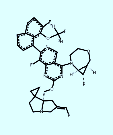 [2H]C([2H])(F)Oc1c(F)ccc2cccc(-c3ncc4c(N5CCOC[C@H]6[C@H](F)[C@H]65)nc(OC[C@]56C/C(=C/F)CN5CCC65CC5)nc4c3F)c12